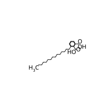 CCCCCCCCCCCCCCCc1cccc(C(=O)O)c1C(=O)O